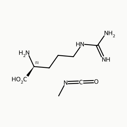 CN=C=O.N=C(N)NCCC[C@H](N)C(=O)O